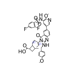 C/C=C(\C=C/C1C(C)CC1C(=O)O)n1c(NCc2ccc(OC)cc2)nc2ccc(-c3cnc(OC)c(NS(=O)(=O)c4ccc(F)cc4F)c3)cc2c1=O